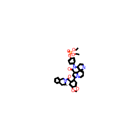 CCOP(=O)(OCC)Oc1ccc(N(C(=O)c2cc(-c3cc4c(cc3C(=O)N3Cc5ccccc5C[C@H]3C)OCO4)n3ccccc23)c2ccncc2)cc1